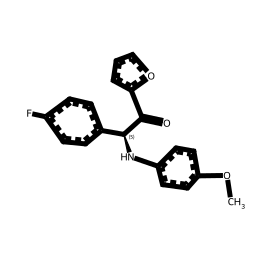 COc1ccc(N[C@H](C(=O)c2ccco2)c2ccc(F)cc2)cc1